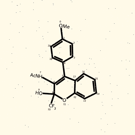 COc1ccc(C2=C(NC(C)=O)C(O)(C(F)(F)F)Oc3ccccc32)cc1